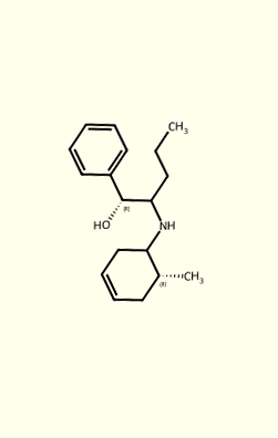 CCCC(NC1CC=CC[C@H]1C)[C@H](O)c1ccccc1